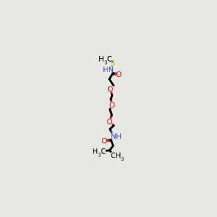 CSNC(=O)CCOCCOCCOCCNC(=O)CC(C)C